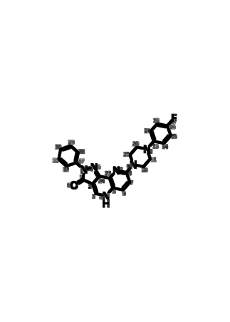 O=c1c2c[nH]c3ccc(N4CCN(c5ccc(F)cc5)CC4)nc3c-2nn1-c1ccccc1